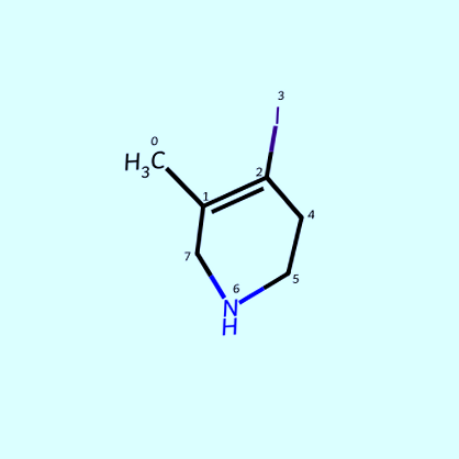 CC1=C(I)CCNC1